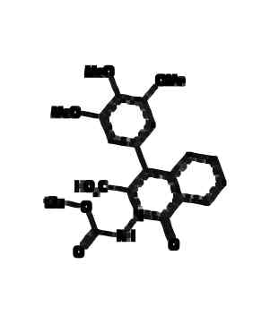 COc1cc(-c2c(C(=O)O)n(NC(=O)OC(C)(C)C)c(=O)c3ccccc23)cc(OC)c1OC